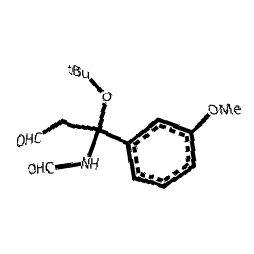 COc1cccc(C(CC=O)(NC=O)OC(C)(C)C)c1